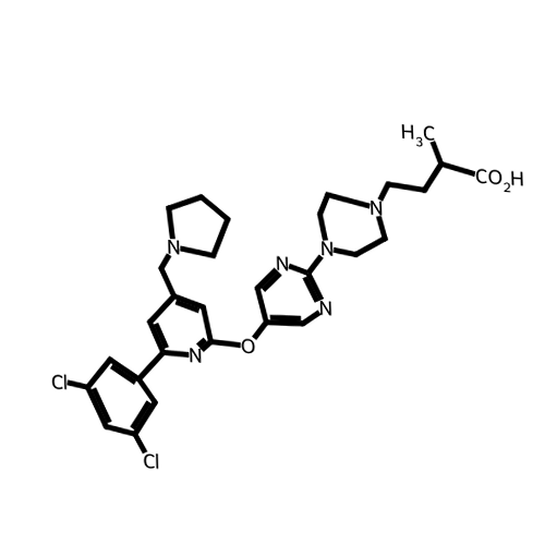 CC(CCN1CCN(c2ncc(Oc3cc(CN4CCCC4)cc(-c4cc(Cl)cc(Cl)c4)n3)cn2)CC1)C(=O)O